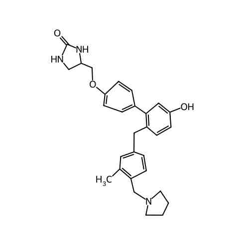 Cc1cc(Cc2ccc(O)cc2-c2ccc(OCC3CNC(=O)N3)cc2)ccc1CN1CCCC1